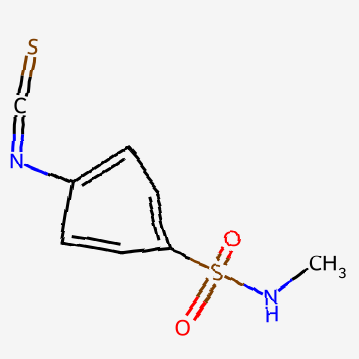 CNS(=O)(=O)c1ccc(N=C=S)cc1